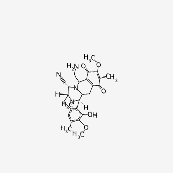 COC1=C(C)C(=O)C2=C(C1=O)C(CN)N1C(C2)[C@H]2c3c(cc(C)c(OC)c3O)C[C@H]([C@@H]1C#N)N2C